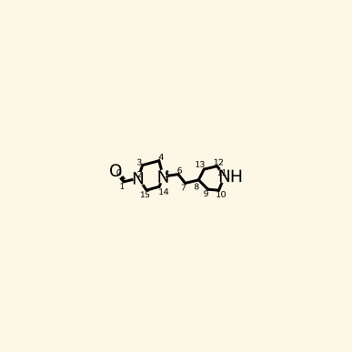 O=CN1CCN(CCC2CCNCC2)CC1